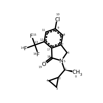 C[C@@H](C1CC1)N1Cc2cc(Cl)cc(C(F)(F)F)c2C1=O